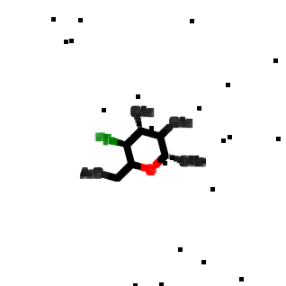 CO[C@@H]1OC(COC(C)=O)[C@@H]([18F])[C@H](OC(C)=O)C1OC(C)=O